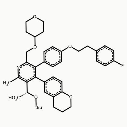 Cc1nc(COC2CCOCC2)c(-c2ccc(OCCc3ccc(F)cc3)cc2)c(-c2ccc3c(c2)CCCO3)c1[C@H](OC(C)(C)C)C(=O)O